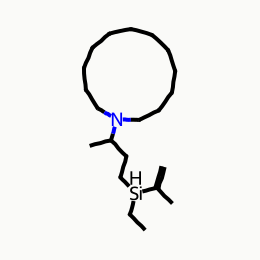 C=C(C)[SiH](CC)CCC(C)N1CCCCCCCCCCCC1